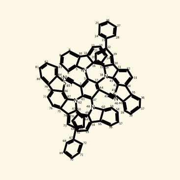 N#Cc1c(-n2c3ccccc3c3ccccc32)c(-n2c3ccc(-c4ccccc4)cc3c3ccc4c5ccccc5sc4c32)c(C#N)c(-n2c3ccccc3c3ccccc32)c1-n1c2ccc(-c3ccccc3)cc2c2ccc3c4ccccc4sc3c21